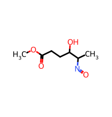 COC(=O)CCC(O)C(C)N=O